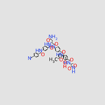 CC(C)Oc1c(NC(=O)c2ccc(NC(=O)C(CC(N)=O)NC(=O)c3ccc(NC(=O)c4ccc(C#N)cc4)cc3)cc2)ccc(C(=O)NC2CONC2=O)c1O